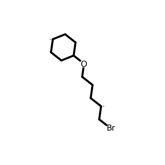 BrC[CH]CCCOC1CC[CH]CC1